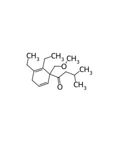 CCC1=C(CC)C(COC)(C(=O)CC(C)C)C=CC1